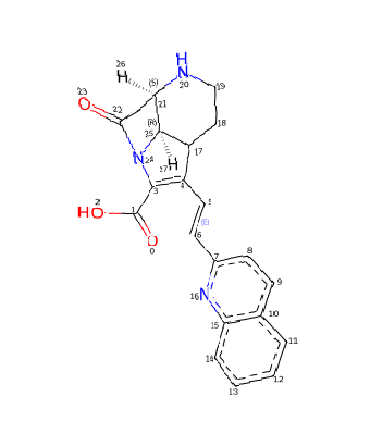 O=C(O)C1=C(/C=C/c2ccc3ccccc3n2)C2CCN[C@@H]3C(=O)N1[C@H]23